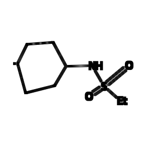 CCS(=O)(=O)NC1CC[CH]CC1